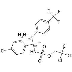 C[C@](NS(=O)(=O)OCC(Cl)(Cl)Cl)(c1ccc(Cl)cc1)[C@H](N)c1ccc(C(F)(F)F)cc1